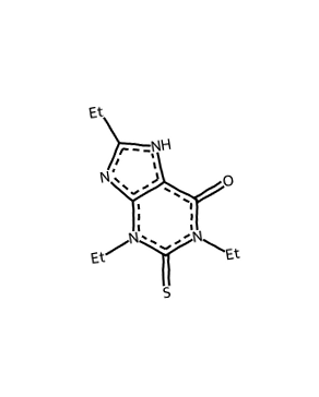 CCc1nc2c([nH]1)c(=O)n(CC)c(=S)n2CC